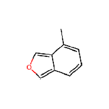 Cc1cccc2[c]occ12